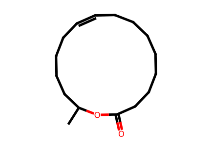 CC1CCCC/C=C\CCCCCCCC(=O)O1